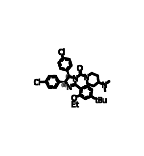 CCOc1cc(C(C)(C)C)ccc1C1=N[C@@H](c2ccc(Cl)cc2)[C@@H](c2ccc(Cl)cc2)N1C(=O)N1CCC(N(C)C)CC1